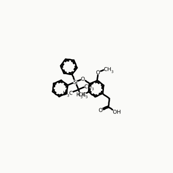 COc1cc(CC(=O)O)cc(C)c1O[Si](c1ccccc1)(c1ccccc1)C(C)(C)C